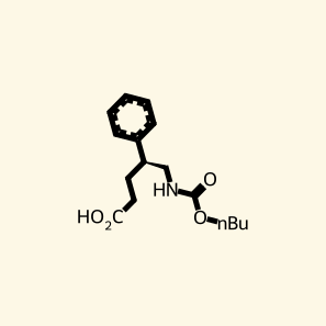 CCCCOC(=O)NC[C@@H](CCC(=O)O)c1ccccc1